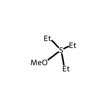 CCS(CC)(CC)OC